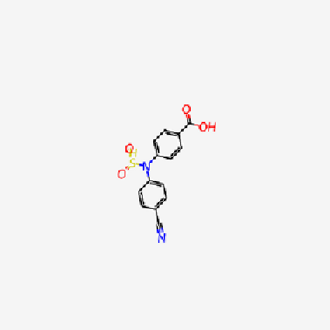 N#Cc1ccc(N(c2ccc(C(=O)O)cc2)[SH](=O)=O)cc1